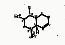 CCC1CN(C(C)C)[C@H]2C=CCCC2[C@H]1C